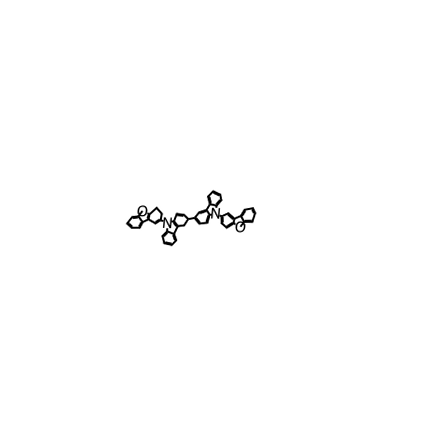 C1=CC(c2ccc3c(c2)c2ccccc2n3-c2ccc3oc4ccccc4c3c2)Cc2c1n(C1=Cc3c(oc4ccccc34)CC1)c1ccccc21